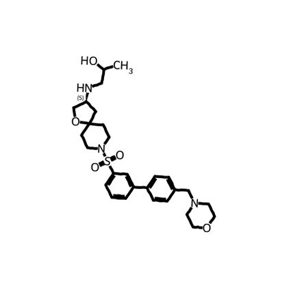 CC(O)CN[C@@H]1COC2(CCN(S(=O)(=O)c3cccc(-c4ccc(CN5CCOCC5)cc4)c3)CC2)C1